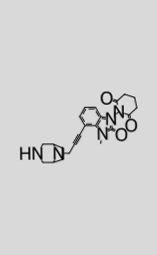 Cn1c(=O)n(N2C(=O)CCCC2=O)c2cccc(C#CCN3C4CCC3CNC4)c21